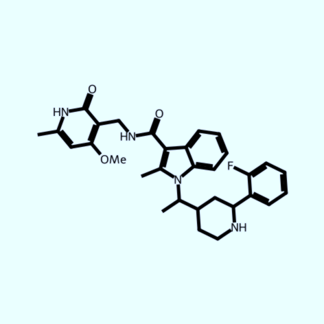 COc1cc(C)[nH]c(=O)c1CNC(=O)c1c(C)n(C(C)C2CCNC(c3ccccc3F)C2)c2ccccc12